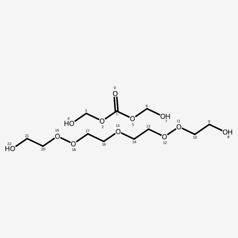 O=C(OCO)OCO.OCCOOCCOCCOOCCO